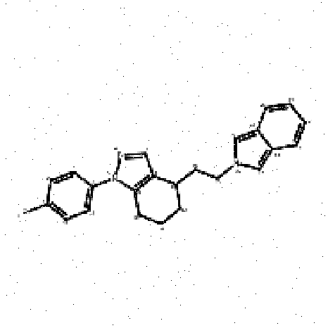 Fc1ccc(-n2ncc3c2CCCC3CCn2cc3ccccc3c2)cc1